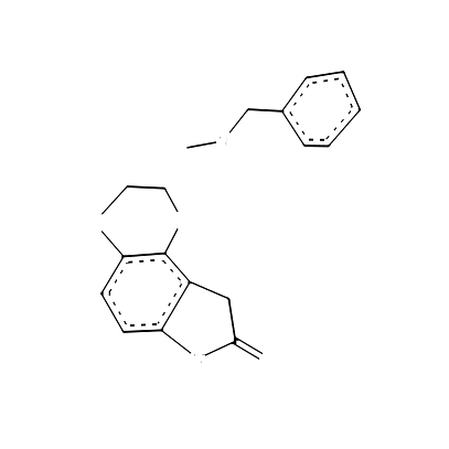 O=C1Cc2c(ccc3c2O[C@@H](CNCc2ccccc2)CO3)N1